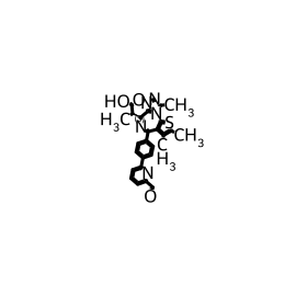 Cc1sc2c(c1C)C(c1ccc(-c3cccc(C=O)n3)cc1)=N[C@@H](C(C)C(=O)O)c1nnc(C)n1-2